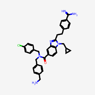 N=C(N)c1ccc(CCc2nc3cc(C(=O)N(Cc4ccc(Cl)cc4)Cc4ccc(CN)cc4)ccc3n2CC2CC2)cc1